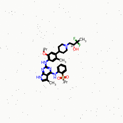 Cc1cc(Nc2nc(Nc3ccccc3S(=O)(=O)C(C)C)c3c(C)c[nH]c3n2)c(OC(C)C)cc1C1CCN(C[C@@H](O)C(C)(F)F)CC1